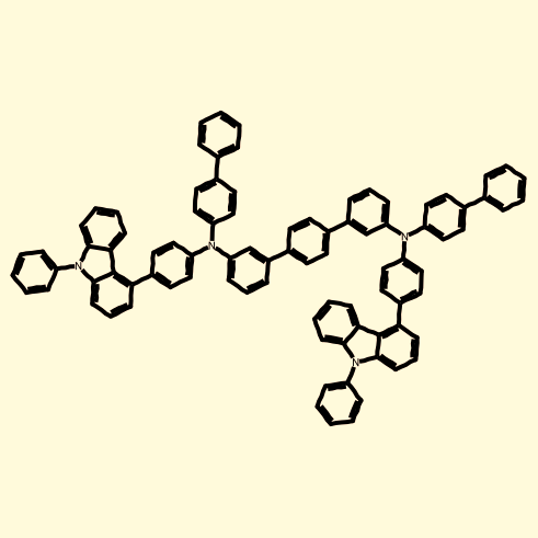 c1ccc(-c2ccc(N(c3ccc(-c4cccc5c4c4ccccc4n5-c4ccccc4)cc3)c3cccc(-c4ccc(-c5cccc(N(c6ccc(-c7ccccc7)cc6)c6ccc(-c7cccc8c7c7ccccc7n8-c7ccccc7)cc6)c5)cc4)c3)cc2)cc1